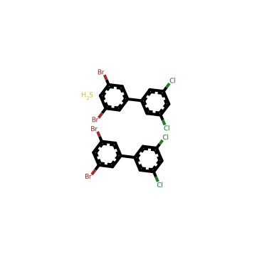 Clc1cc(Cl)cc(-c2cc(Br)cc(Br)c2)c1.Clc1cc(Cl)cc(-c2cc(Br)cc(Br)c2)c1.S